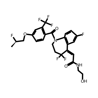 C[C@@H](F)COc1ccc(C(=O)N2CCC(F)(F)/C(=C\C(=O)NCCO)c3cc(F)ccc32)c(C(F)(F)F)c1